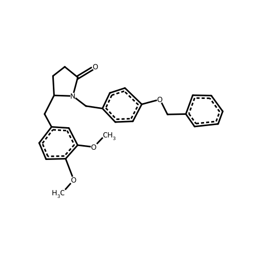 COc1ccc(CC2CCC(=O)N2Cc2ccc(OCc3ccccc3)cc2)cc1OC